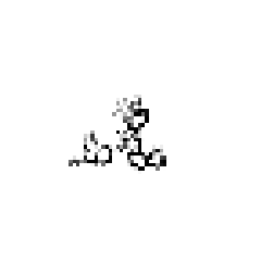 CC(C)C(N)CN1CCC(Nc2nc3ncccc3n2Cc2cccc3cccnc23)CC1.O.O